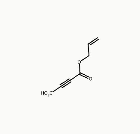 C=CCOC(=O)C#CC(=O)O